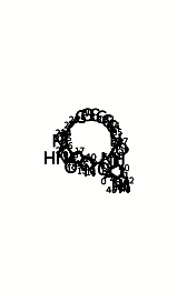 Cc1cc(CC2NC(=O)c3cc4c(cn3)CC3(C4)C(=O)Nc4ncc(cc43)C=CCOCCCCCN(C)C2=O)cc2cnn(C)c12